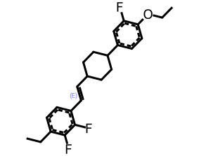 CCOc1ccc(C2CCC(/C=C/c3ccc(CC)c(F)c3F)CC2)cc1F